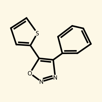 c1ccc(-c2nnoc2-c2cccs2)cc1